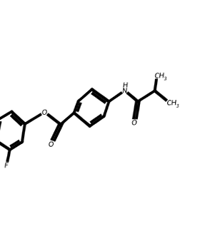 CC(C)C(=O)Nc1ccc(C(=O)Oc2cccc(F)c2)cc1